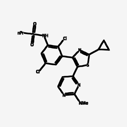 CCCS(=O)(=O)Nc1cc(Cl)cc(-c2nc(C3CC3)sc2-c2ccnc(NC)n2)c1Cl